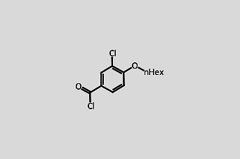 CCCCCCOc1ccc(C(=O)Cl)cc1Cl